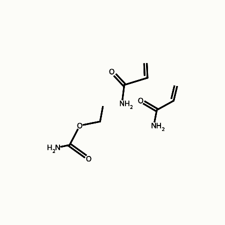 C=CC(N)=O.C=CC(N)=O.CCOC(N)=O